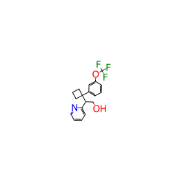 OCC(c1ccccn1)C1(c2cccc(OC(F)(F)F)c2)CCC1